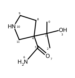 CC(C)(O)C1(C(N)=O)CCNC1